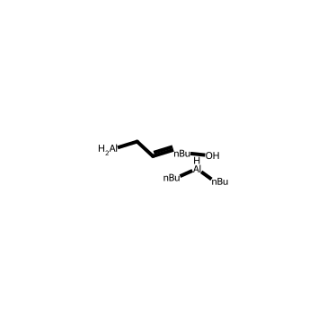 C=C[CH2][AlH2].CCCCO.CCC[CH2][AlH][CH2]CCC